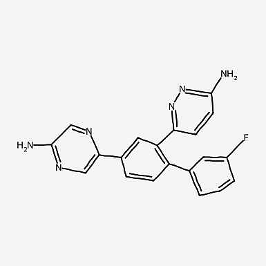 Nc1cnc(-c2ccc(-c3cccc(F)c3)c(-c3ccc(N)nn3)c2)cn1